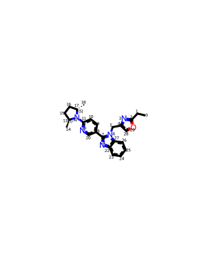 CCc1nc(Cn2c(-c3ccc(N4[C@@H](C)CC[C@@H]4C)nc3)nc3ccccc32)co1